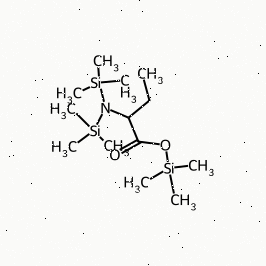 CCC(C(=O)O[Si](C)(C)C)N([Si](C)(C)C)[Si](C)(C)C